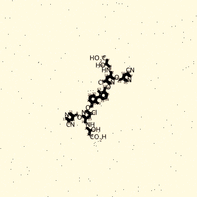 Cc1c(COc2nc(OCc3cncc(C#N)c3)c(CNC[C@H](O)CC(=O)O)cc2Cl)cccc1-c1cccc(COc2nc(OCc3cncc(C#N)c3)c(CNC[C@H](O)CC(=O)O)cc2Cl)c1C